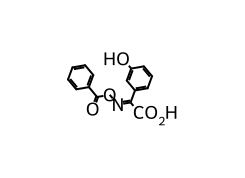 O=C(O)C(=NOC(=O)c1ccccc1)c1cccc(O)c1